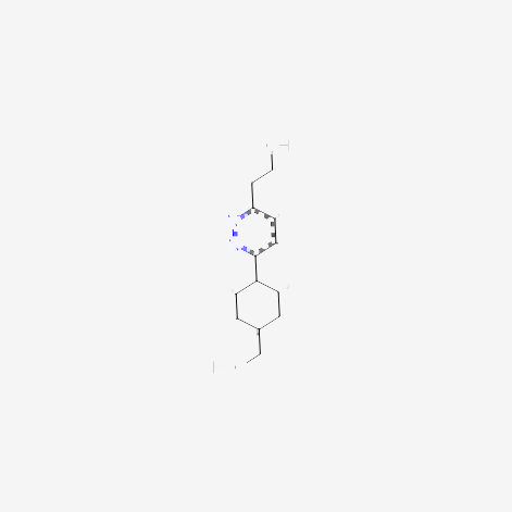 CCCc1ccc(C2CCC(CC)CC2)nn1